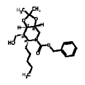 CCCCC[C@@H]1[C@H](CO)[C@H]2OC(C)(C)O[C@@H]2CN1C(=O)OCc1ccccc1